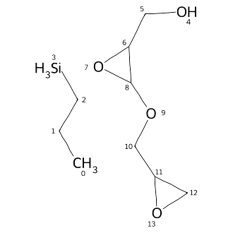 CCC[SiH3].OCC1OC1OCC1CO1